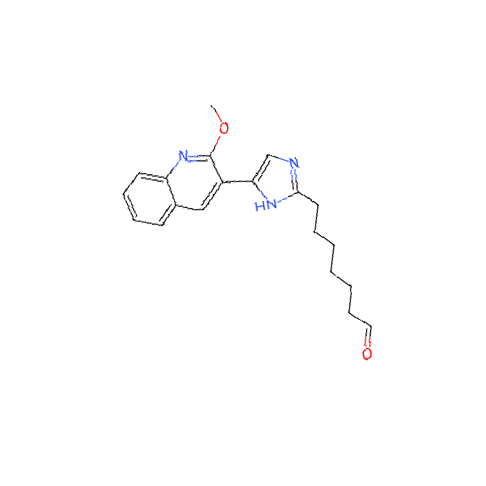 COc1nc2ccccc2cc1-c1cnc(CCCCCCC=O)[nH]1